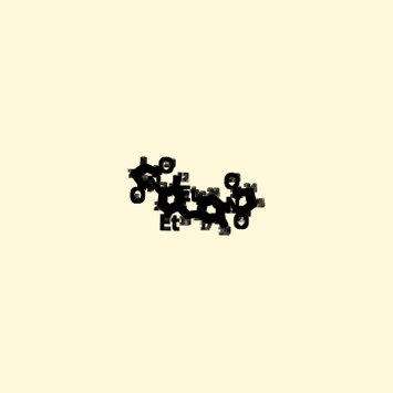 CCc1cc(N2C(=O)C=CC2=O)c(C)cc1Cc1cc(C)c(N2C(=O)C=CC2=O)cc1CC